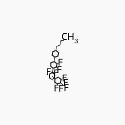 C/C=C/CCc1ccc(-c2ccc(C(F)(F)Oc3cc(F)c(C(F)(F)F)c(F)c3)c(F)c2F)cc1